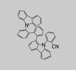 N#Cc1ccccc1-n1c2ccccc2c2cccc(-c3ccccc3-c3ccccc3-n3c4ccccc4c4ccccc43)c21